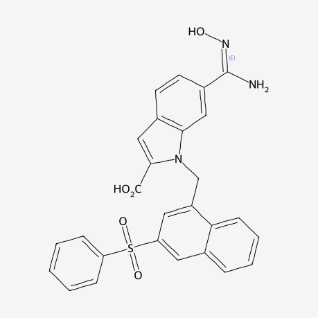 N/C(=N/O)c1ccc2cc(C(=O)O)n(Cc3cc(S(=O)(=O)c4ccccc4)cc4ccccc34)c2c1